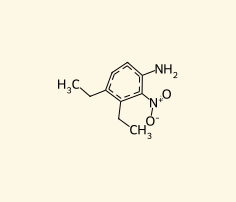 CCc1ccc(N)c([N+](=O)[O-])c1CC